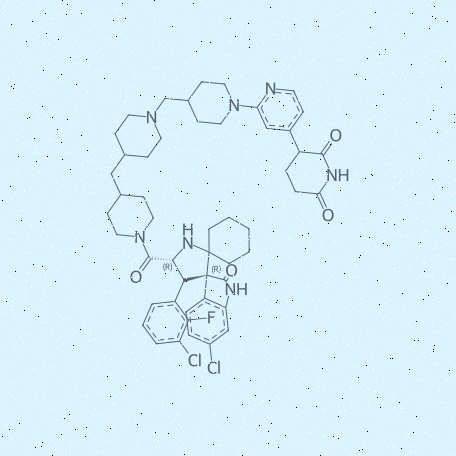 O=C1CCC(c2ccnc(N3CCC(CN4CCC(CC5CCN(C(=O)[C@@H]6NC7(CCCCC7)[C@@]7(C(=O)Nc8cc(Cl)ccc87)C6c6cccc(Cl)c6F)CC5)CC4)CC3)c2)C(=O)N1